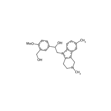 COc1ccc(C(O)Cn2c3c(c4cc(C)ccc42)CN(C)CC3)cc1CO